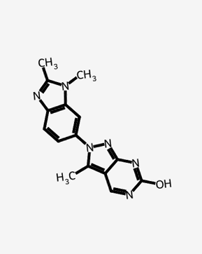 Cc1c2cnc(O)nc2nn1-c1ccc2nc(C)n(C)c2c1